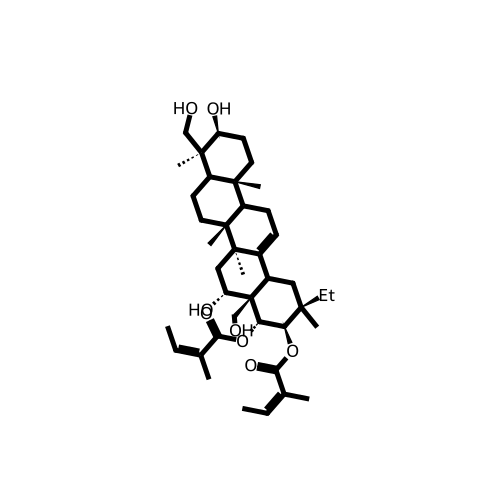 C/C=C(/C)C(=O)O[C@H]1[C@H](OC(=O)/C(C)=C\C)[C@@]2(CO)C(C[C@@]1(C)CC)C1=CCC3[C@@]4(C)CC[C@H](O)[C@](C)(CO)C4CC[C@@]3(C)[C@]1(C)C[C@H]2O